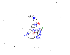 CN1CCC(C(=O)N2CCC(C3CCNC4(CCCCCCCCC4)C3NC(=O)c3c(N)nn4cc(F)cnc34)CC2)CC1